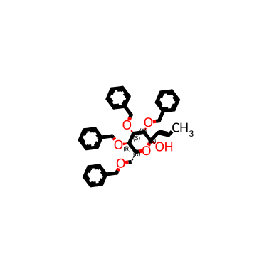 CC=C[C@]1(O)O[C@H](COCc2ccccc2)[C@@H](OCc2ccccc2)[C@H](OCc2ccccc2)[C@@H]1OCc1ccccc1